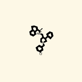 C[C@@H](NCC1CCN(Cc2cccc(Cl)c2)CC1c1ccccc1)c1cccc2ccccc12